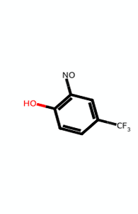 O=Nc1cc(C(F)(F)F)ccc1O